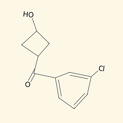 O=C(c1cccc(Cl)c1)C1CC(O)C1